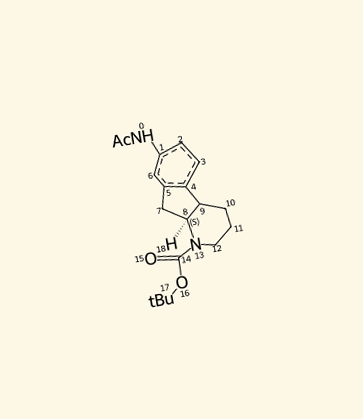 CC(=O)Nc1ccc2c(c1)C[C@H]1C2CCCN1C(=O)OC(C)(C)C